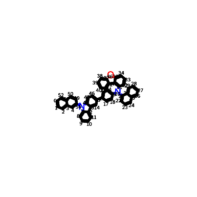 c1ccc2cc(-n3c4ccccc4c4cc(-c5ccc(N(c6cccc7ccccc67)c6cccc7oc8ccccc8c67)cc5)ccc43)ccc2c1